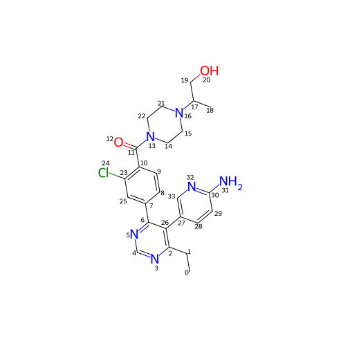 CCc1ncnc(-c2ccc(C(=O)N3CCN(C(C)CO)CC3)c(Cl)c2)c1-c1ccc(N)nc1